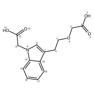 O=C(O)COCCc1cn(CC(=O)O)c2ccccc12